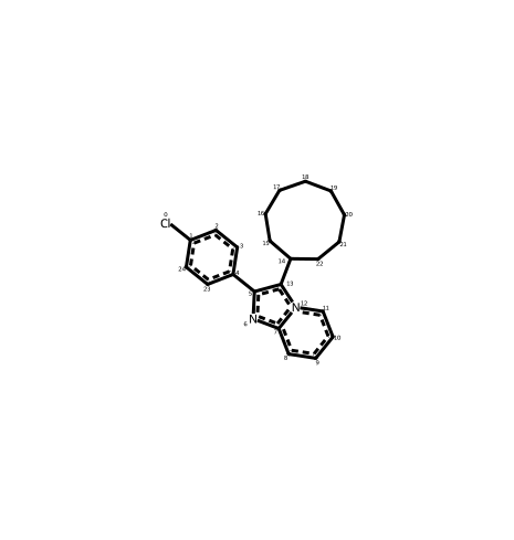 Clc1ccc(-c2nc3ccccn3c2C2CCCCCCCC2)cc1